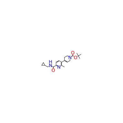 Cc1nc(C(=O)NCC2CC2)ccc1C1=CCN(C(=O)OC(C)(C)C)CC1